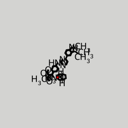 CC(=O)c1c(NC2C[C@H]3CC[C@@H](C2)N3C)c2ccc(Nc3nccc(-c4ccc5nn(C)c(C(C)C)c5c4)n3)cc2oc1=O